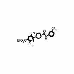 CCOC(=O)c1cc(C#N)c(N2CCN(C(=O)Nc3cccc(C(F)(F)F)c3)CC2)nc1C(F)(F)F